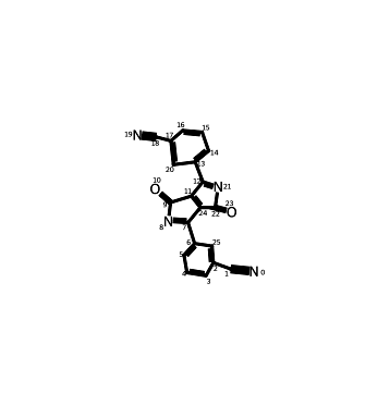 N#Cc1cccc(-c2nc(=O)c3c(-c4cccc(C#N)c4)nc(=O)c2=3)c1